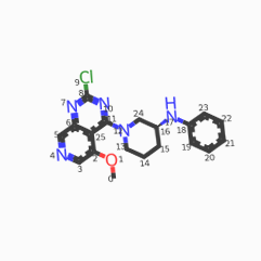 COc1cncc2nc(Cl)nc(N3CCC[C@H](Nc4ccccc4)C3)c12